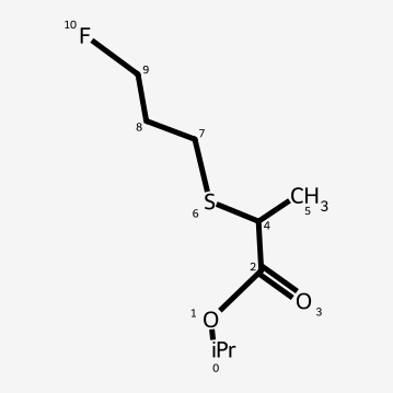 CC(C)OC(=O)C(C)SCCCF